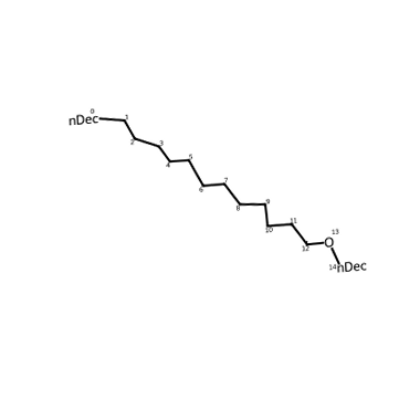 CCCCCCCCCCCCCCCCCCCCC[CH]OCCCCCCCCCC